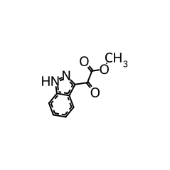 COC(=O)C(=O)c1n[nH]c2ccccc12